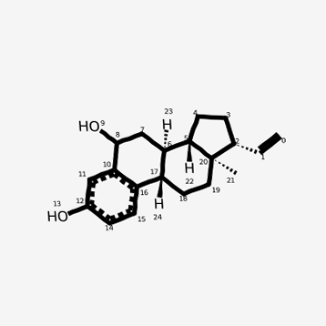 C=C[C@H]1CC[C@H]2[C@@H]3CC(O)c4cc(O)ccc4[C@H]3CC[C@]12C